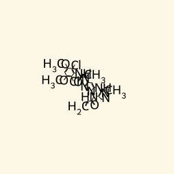 C=CC(=O)Nc1cnn(C)c1Nc1cc(N(C)C(=O)Nc2c(Cl)c(OC)cc(OC)c2Cl)ncn1